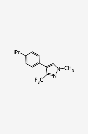 CC(C)c1ccc(-c2cn(C)nc2C(F)(F)F)cc1